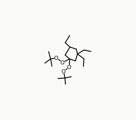 CCC1CC(CC)(CC)CC(OOC(C)(C)C)(OOC(C)(C)C)C1